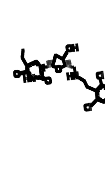 CCc1cn([C@@H]2CC(O)[C@H](CNCCc3c(Cl)cccc3Cl)O2)c(=O)[nH]c1=O